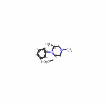 C[C@H]1CN(C)C[C@H](CC(=O)O)N1c1ccccc1